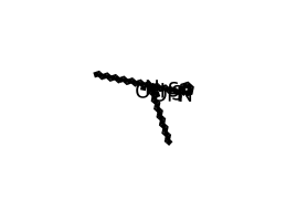 CCCCCCCCCCCCC(O)CN(CCCCSSc1ccccn1)CC(O)CCCCCCCCCCCC